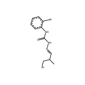 CC(C)CC(C)/C=N/NC(=S)Nc1ccccc1C(C)C